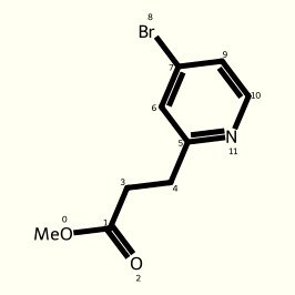 COC(=O)CCc1cc(Br)ccn1